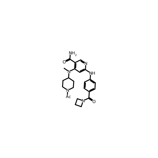 CC(=O)N1CCC(N(C)c2cc(Nc3ccc(C(=O)N4CCC4)cc3)ncc2C(N)=O)CC1